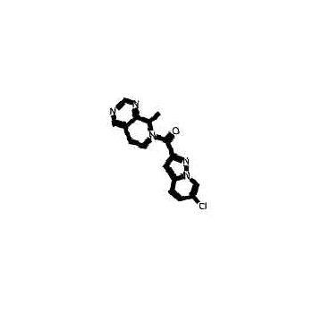 CC1c2ncncc2CCN1C(=O)c1cc2ccc(Cl)cn2n1